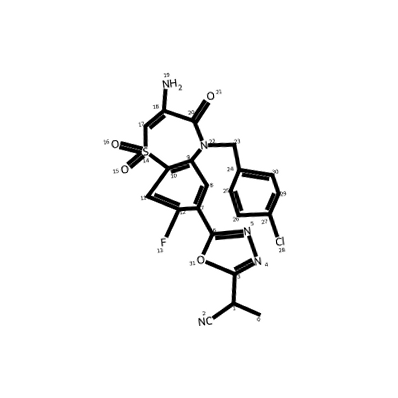 CC(C#N)c1nnc(-c2cc3c(cc2F)S(=O)(=O)C=C(N)C(=O)N3Cc2ccc(Cl)cc2)o1